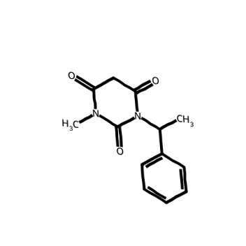 CC(c1ccccc1)N1C(=O)CC(=O)N(C)C1=O